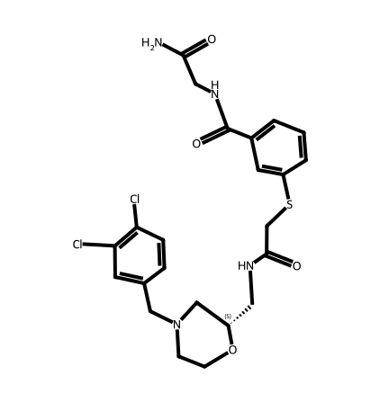 NC(=O)CNC(=O)c1cccc(SCC(=O)NC[C@H]2CN(Cc3ccc(Cl)c(Cl)c3)CCO2)c1